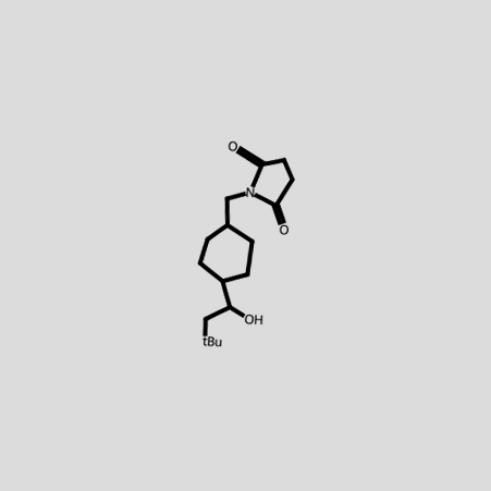 CC(C)(C)CC(O)C1CCC(CN2C(=O)CCC2=O)CC1